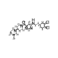 Cc1c(NCCc2ccc(Cl)c(Cl)c2)ncnc1C(=O)N1CCC(N2CCC[C@H](C)C2)CC1